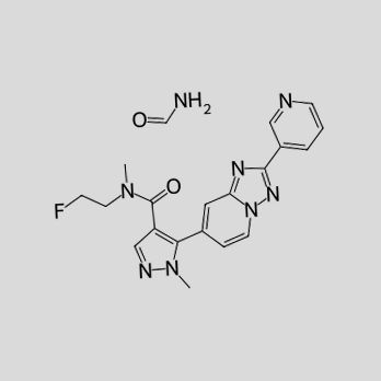 CN(CCF)C(=O)c1cnn(C)c1-c1ccn2nc(-c3cccnc3)nc2c1.NC=O